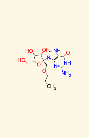 CCCOC[C@@]1(N2CNc3c2nc(N)[nH]c3=O)O[C@H](CO)[C@@H](O)[C@H]1O